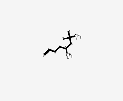 C=CCCC(CC(C)(C)C(F)(F)F)C(F)(F)F